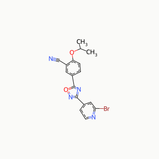 CC(C)Oc1ccc(-c2nc(-c3ccnc(Br)c3)no2)cc1C#N